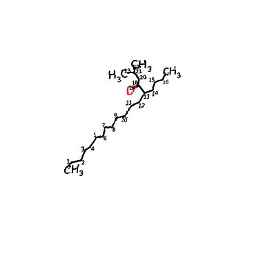 CCCCCCCCCCCCCC(CCCC)C(=O)CC(C)C